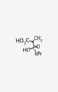 CCCP(=O)(O)C(C)C(=O)O